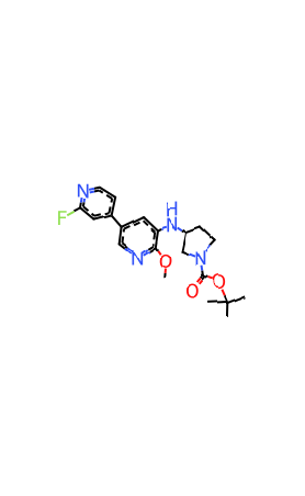 COc1ncc(-c2ccnc(F)c2)cc1NC1CCN(C(=O)OC(C)(C)C)C1